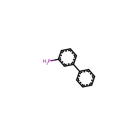 Pc1cccc(-c2ccccc2)c1